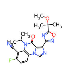 COC(C)(C)c1nc(-c2ncn3c2c(=O)n(C(C)C)c2c(C#N)c(F)ccc23)no1